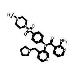 CN1CCN(S(=O)(=O)c2ccc(N(C(=O)c3cccnc3N)c3cnccc3CN3CCCC3)cc2)CC1